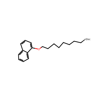 CCCCCCCCCCCCCCCCCCOc1cccc2ccccc12